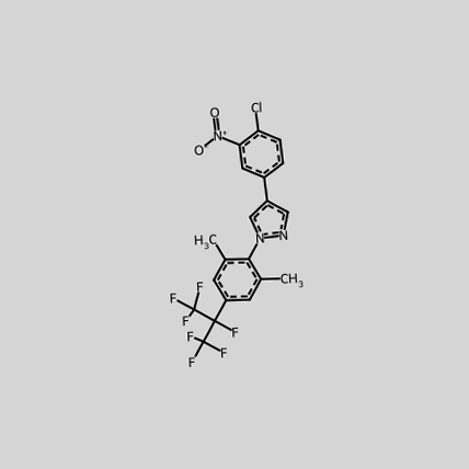 Cc1cc(C(F)(C(F)(F)F)C(F)(F)F)cc(C)c1-n1cc(-c2ccc(Cl)c([N+](=O)[O-])c2)cn1